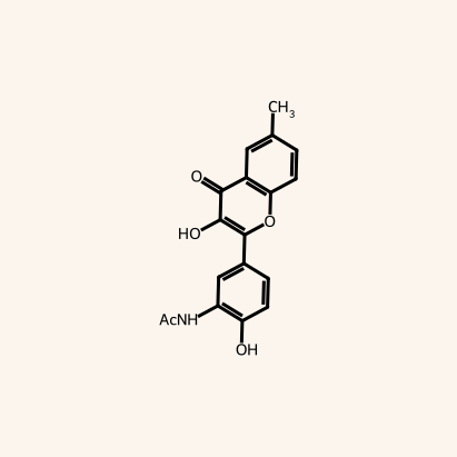 CC(=O)Nc1cc(-c2oc3ccc(C)cc3c(=O)c2O)ccc1O